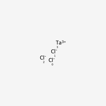 [Cl-].[Cl-].[Cl-].[Ta+3]